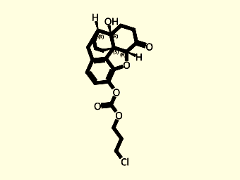 O=C(OCCCCl)Oc1ccc2c3c1O[C@H]1C(=O)CC[C@@]4(O)[C@H](CCC[C@]314)C2